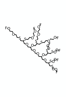 FOCCOCCSCC(COCC(COCOCC(COCC(CSOOF)SOOF)OCC(CSOOF)SOOF)OCC(CSCCOCCOF)SCCOCCOF)SCCOCCOF